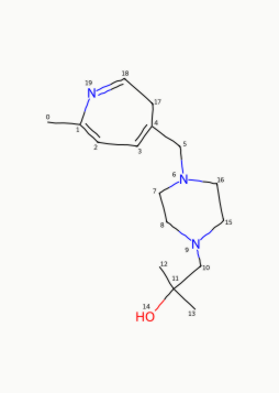 CC1=CC=C(CN2CCN(CC(C)(C)O)CC2)CC=N1